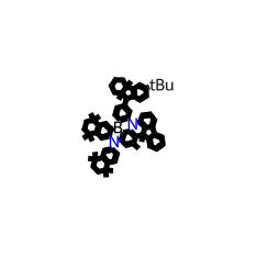 Cc1cc2c3c4c1C1(C)c5ccccc5-c5cccc(c51)N4c1cc(C4c5ccc(C(C)(C)C)cc5C5(C)CCCCC45C)ccc1B3c1cc3c(cc1N2c1ccc2c(c1)C(C)(C)CCC2(C)C)C(C)(C)CCC3(C)C